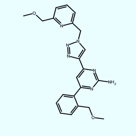 COCc1cccc(Cn2cc(-c3cc(-c4ccccc4COC)nc(N)n3)nn2)n1